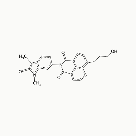 Cn1c(=O)n(C)c2cc(N3C(=O)c4cccc5c(CCCO)ccc(c45)C3=O)ccc21